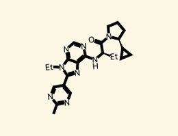 CC[C@@H](Nc1ncnc2c1nc(-c1cnc(C)nc1)n2CC)C(=O)N1CCC[C@H]1C1CC1